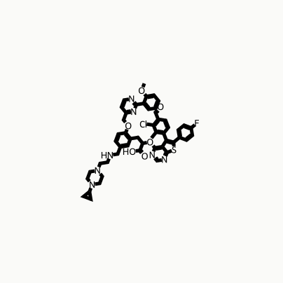 COc1ccccc1-c1nccc(COc2ccc(CNCCN3CCN(C4CC4)CC3)cc2CC(Oc2ncnc3sc(-c4ccc(F)cc4)c(-c4ccc(C=O)c(Cl)c4C)c23)C(=O)O)n1